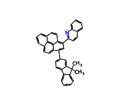 CC1(C)c2ccccc2-c2ccc(-c3cc(-c4ccc5ccccc5n4)c4ccc5cccc6ccc3c4c65)cc21